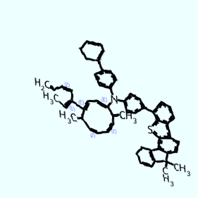 C=C\C=C/C(=C\C)C1=C/C=C(/N(c2ccc(C3=CC=CCC3)cc2)c2ccc(-c3cccc4c3sc3c5c(ccc34)C(C)(C)C3=C5CCC=C3)cc2)C(C)/C=C\C=C/C\1C